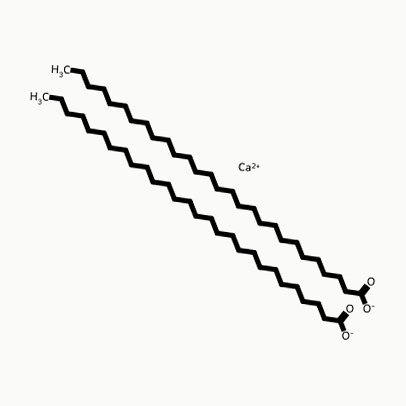 CCCCCCCCCCCCCCCCCCCCCCCCCCCC(=O)[O-].CCCCCCCCCCCCCCCCCCCCCCCCCCCC(=O)[O-].[Ca+2]